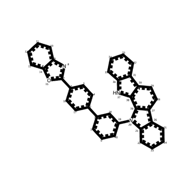 c1cc(-c2ccc(-c3nc4ccccc4o3)cc2)cc(-n2c3ccccc3c3ccc4c5ccccc5[nH]c4c32)c1